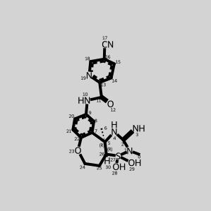 CN1C(=N)N[C@]2(C)c3cc(NC(=O)c4ccc(C#N)cn4)ccc3OCC[C@H]2S1(O)O